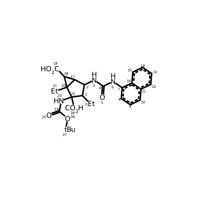 CCC1C(NC(=O)Nc2cccc3ccccc23)C2C(C(=O)O)C2(CC)C1(NC(=O)OC(C)(C)C)C(=O)O